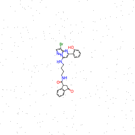 O=C1CC(C(=O)NCCCCNc2cc(-c3ccccc3O)nc3c(Br)cnn23)c2ccccc21